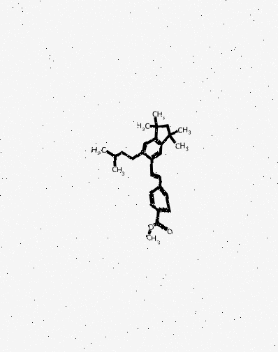 COC(=O)c1ccc(C=Cc2cc3c(cc2CCC(C)C)C(C)(C)CC3(C)C)cc1